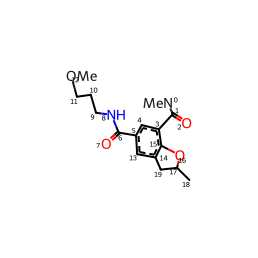 CNC(=O)c1cc(C(=O)NCCCOC)cc2c1OC(C)C2